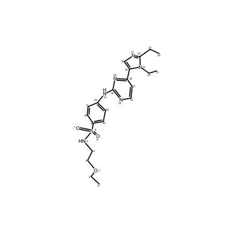 CCOCCNS(=O)(=O)c1ccc(Nc2nccc(-c3cnc(CC)n3CC)n2)cc1